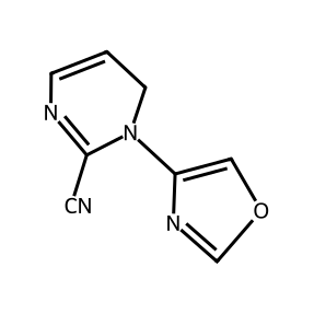 N#CC1=NC=CCN1c1cocn1